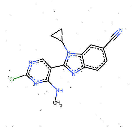 CNc1nc(Cl)ncc1-c1nc2ccc(C#N)cc2n1C1CC1